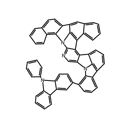 c1ccc(-n2c3ccccc3c3cc(-c4cccc5c6cccc7c8c9c%10c%11ccccc%11cc%11c%12ccc%13ccccc%13c%12n(c9ncc8n(c45)c67)c%11%10)ccc32)cc1